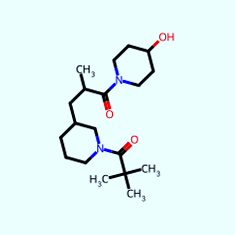 CC(CC1CCCN(C(=O)C(C)(C)C)C1)C(=O)N1CCC(O)CC1